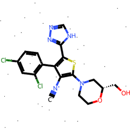 [C-]#[N+]c1c(N2CCO[C@@H](CO)C2)sc(-c2nnc[nH]2)c1-c1ccc(Cl)cc1Cl